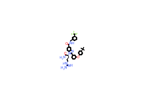 CC(C)(C)c1ccc(Oc2cccc(-c3nc4cc(C(=O)NCc5cccc(C(F)(F)F)c5)ccc4n3[C@@H](CCCNC(=N)N)C(N)=O)c2)cc1